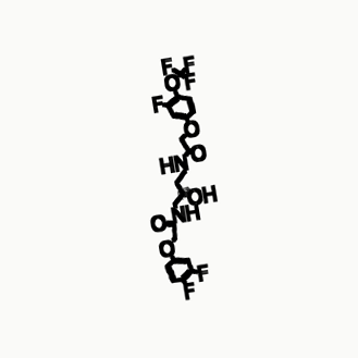 O=C(COc1ccc(OC(F)(F)F)c(F)c1)NCC[C@H](O)CNC(=O)COc1ccc(F)c(F)c1